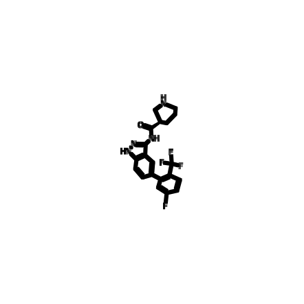 O=C(Nc1n[nH]c2ccc(-c3cc(F)ccc3C(F)(F)F)cc12)[C@@H]1CCCNC1